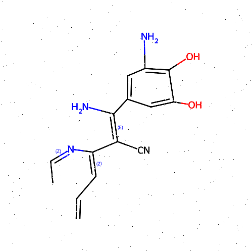 C=C/C=C(\N=C/C)C(/C#N)=C(\N)c1cc(N)c(O)c(O)c1